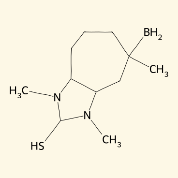 BC1(C)CCCC2C(C1)N(C)C(S)N2C